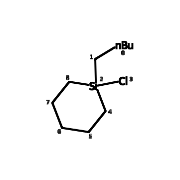 CCCCC[Si]1(Cl)CCCCC1